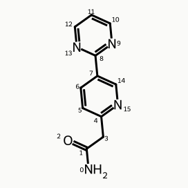 NC(=O)Cc1ccc(-c2ncccn2)cn1